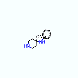 COC1(Nc2ccccc2)CCNCC1